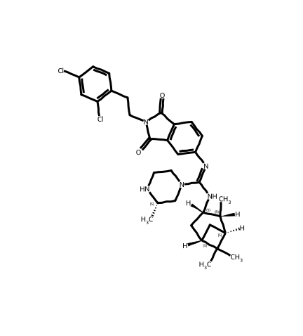 C[C@H]1[C@@H](NC(=Nc2ccc3c(c2)C(=O)N(CCc2ccc(Cl)cc2Cl)C3=O)N2CCN[C@@H](C)C2)C[C@@H]2C[C@@H]1C2(C)C